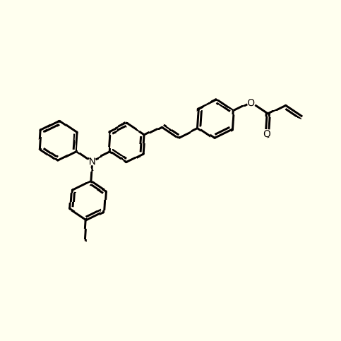 C=CC(=O)Oc1ccc(C=Cc2ccc(N(c3ccccc3)c3ccc(C)cc3)cc2)cc1